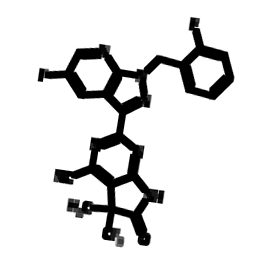 CC1(C(F)(F)F)C(=O)Nc2nc(-c3nn(Cc4ccccc4F)c4ncc(F)cc34)nc(C#N)c21